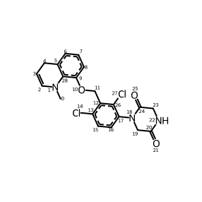 CN1C=CCc2cccc(OCc3c(Cl)ccc(N4CC(=O)NCC4=O)c3Cl)c21